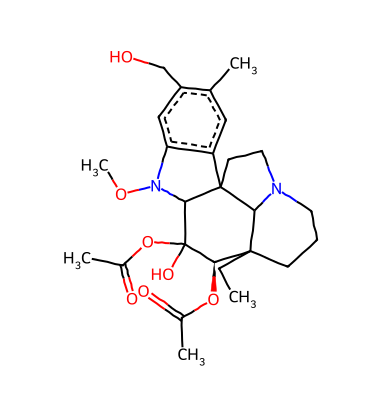 CCC12CCCN3CCC4(c5cc(C)c(CO)cc5N(OC)C4C(O)(OC(C)=O)[C@@H]1OC(C)=O)C32